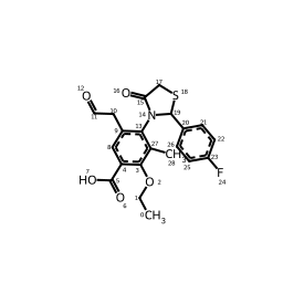 CCOc1c(C(=O)O)cc(CC=O)c(N2C(=O)CSC2c2ccc(F)cc2)c1C